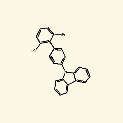 CC(C)c1cccc(C(C)C)c1-c1ccc(-n2c3ccccc3c3ccccc32)nc1